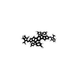 Cc1ccc(C2(c3ccc(C)cc3)C3=C(CC4=C3CC(/C=C3\C(C)C5CCCC5C3C(C)C)=C4)c3cc4c(cc32)C2CC3CC(CC5C(C)c6cscc6C5C(C)C)CC3C2C4(c2ccc(C)cc2)c2ccc(C)cc2)cc1